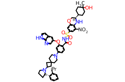 CC(C)c1ccccc1[C@@H]1CCCN1C1CC2(CCN(c3ccc(C(=O)NS(=O)(=O)c4cc5c(c([N+](=O)[O-])c4)N[C@H](C4CCC(C)(O)CC4)CO5)c(Oc4cnc5[nH]ccc5c4)c3)CC2)C1